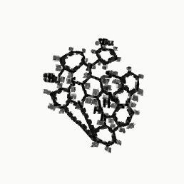 CC(C)(C)c1cccc(B(c2cccc(C(C)(C)C)c2)C2C3Sc4cccc5c6ccc7c8c6n(c45)C3[C@@H]3B8c4c-7ccc5c6cccc7c6n(c45)[C@@H]3C2S7)c1